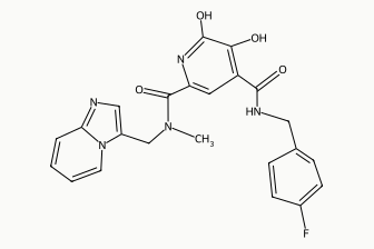 CN(Cc1cnc2ccccn12)C(=O)c1cc(C(=O)NCc2ccc(F)cc2)c(O)c(O)n1